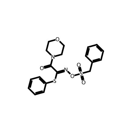 O=C(/C(=N/OS(=O)(=O)Cc1ccccc1)Sc1ccccc1)N1CCOCC1